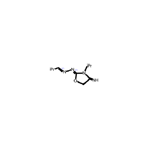 CC(C)/C=N/N=C1\OCC(=N)N1C(C)C